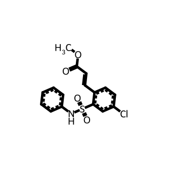 COC(=O)C=Cc1ccc(Cl)cc1S(=O)(=O)Nc1ccccc1